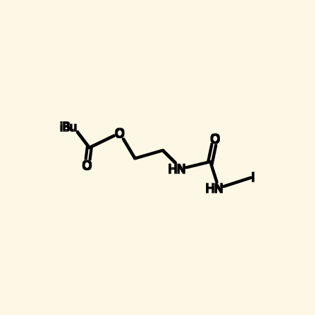 CCC(C)C(=O)OCCNC(=O)NI